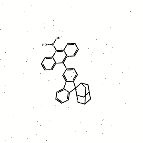 OB(O)c1c2ccccc2c(-c2ccc3c(c2)-c2ccccc2C32C3CC4CC(C3)CC2C4)c2ccccc12